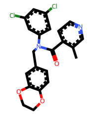 Cc1cnccc1C(=O)N(Cc1ccc2c(c1)OCCO2)c1cc(Cl)cc(Cl)c1